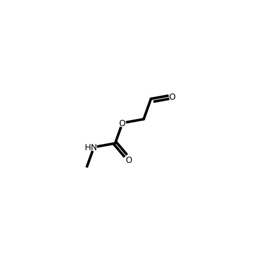 CNC(=O)OCC=O